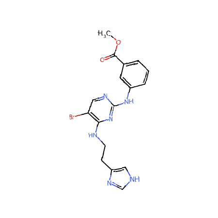 COC(=O)c1cccc(Nc2ncc(Br)c(NCCc3c[nH]cn3)n2)c1